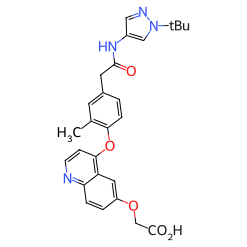 Cc1cc(CC(=O)Nc2cnn(C(C)(C)C)c2)ccc1Oc1ccnc2ccc(OCC(=O)O)cc12